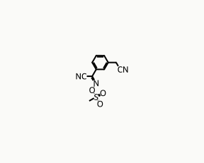 CS(=O)(=O)ON=C(C#N)c1cccc(CC#N)c1